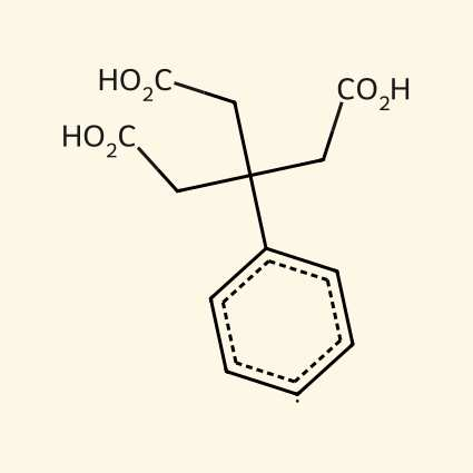 O=C(O)CC(CC(=O)O)(CC(=O)O)c1cc[c]cc1